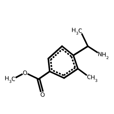 COC(=O)c1ccc(C(C)N)c(C)c1